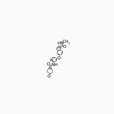 CNC(=O)n1ccc2cc(Oc3ccnc(NC(=O)N4CCC(=O)CC4)c3)ccc21